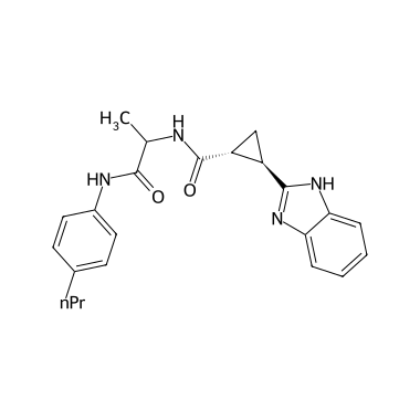 CCCc1ccc(NC(=O)C(C)NC(=O)[C@@H]2C[C@H]2c2nc3ccccc3[nH]2)cc1